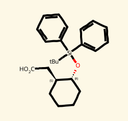 CC(C)(C)[Si](O[C@@H]1CCCC[C@H]1CC(=O)O)(c1ccccc1)c1ccccc1